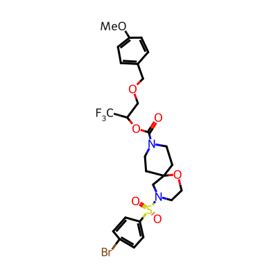 COc1ccc(COCC(OC(=O)N2CCC3(CC2)CN(S(=O)(=O)c2ccc(Br)cc2)CCO3)C(F)(F)F)cc1